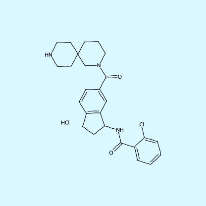 Cl.O=C(NC1CCc2ccc(C(=O)N3CCCC4(CCNCC4)C3)cc21)c1ccccc1Cl